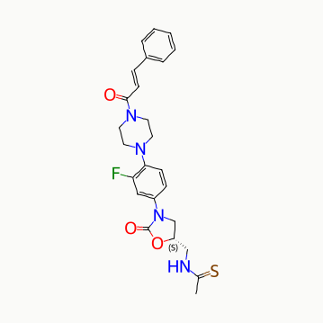 CC(=S)NC[C@H]1CN(c2ccc(N3CCN(C(=O)C=Cc4ccccc4)CC3)c(F)c2)C(=O)O1